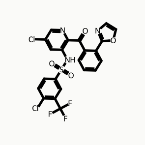 O=C(c1ccccc1-c1ncco1)c1ncc(Cl)cc1NS(=O)(=O)c1ccc(Cl)c(C(F)(F)F)c1